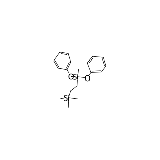 C[Si](C)(C)CC[Si](C)(Oc1ccccc1)Oc1ccccc1